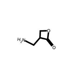 NCC1COC1=O